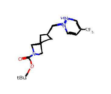 CC(C)(C)OC(=O)N1CC2(CC(CN3C=CC(C(F)(F)F)=CN3)C2)C1